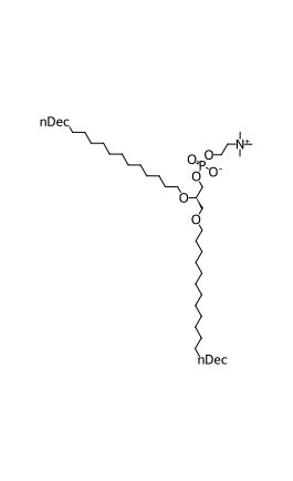 CCCCCCCCCCCCCCCCCCCCCCOC[C@H](COP(=O)([O-])OCC[N+](C)(C)C)OCCCCCCCCCCCCCCCCCCCCCC